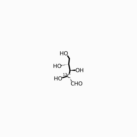 O=[13CH][13C@H](O)[C@H](O)[C@H](O)CO